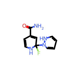 NC(=O)C1=CC(F)(N2C=CC=CN2)NC=C1